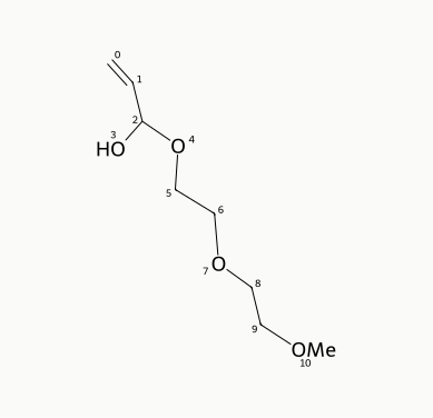 C=CC(O)OCCOCCOC